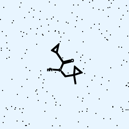 CCCN(CC1(C)CC1)C(=O)C1CC1